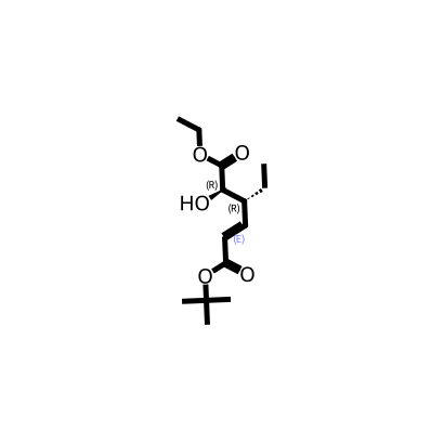 CCOC(=O)[C@H](O)[C@@H](/C=C/C(=O)OC(C)(C)C)CC